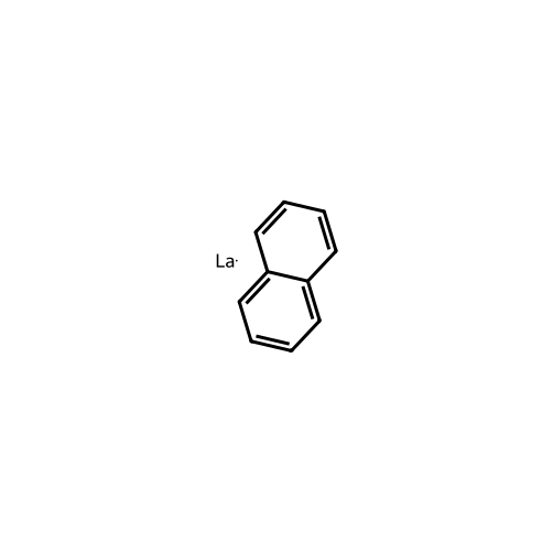 [La].c1ccc2ccccc2c1